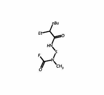 CCCCC(CC)C(=O)NSN(C)C(=O)F